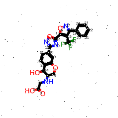 O=C(O)CNC1COc2cc(-c3noc(-c4onc(-c5ccccc5)c4C(F)(F)F)n3)ccc2C1O